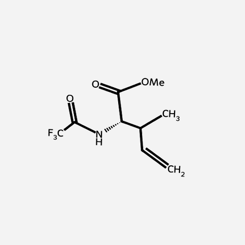 C=CC(C)[C@H](NC(=O)C(F)(F)F)C(=O)OC